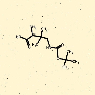 CC(C)(C)OC(=O)NCC(C)(C)[C@H](N)C(=O)O